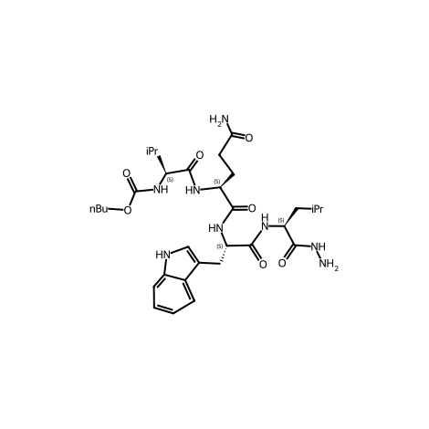 CCCCOC(=O)N[C@H](C(=O)N[C@@H](CCC(N)=O)C(=O)N[C@@H](Cc1c[nH]c2ccccc12)C(=O)N[C@@H](CC(C)C)C(=O)NN)C(C)C